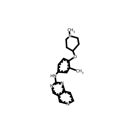 Cc1cc(Nc2ncc3cnccc3n2)ccc1OC1CCN(C)CC1